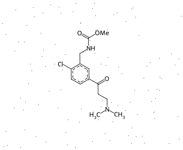 COC(=O)NCc1cc(C(=O)CCN(C)C)ccc1Cl